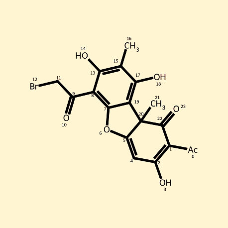 CC(=O)C1=C(O)C=C2Oc3c(C(=O)CBr)c(O)c(C)c(O)c3C2(C)C1=O